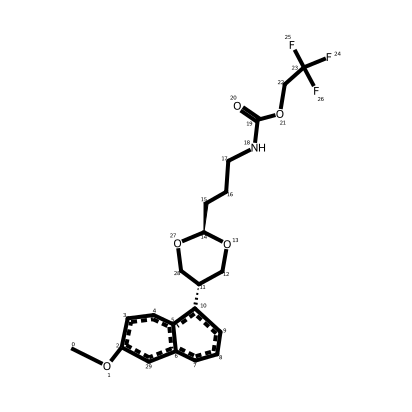 COc1ccc2c(cccc2[C@H]2CO[C@H](CCCNC(=O)OCC(F)(F)F)OC2)c1